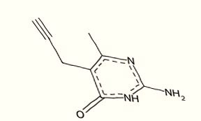 C#CCc1c(C)nc(N)[nH]c1=O